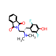 CN(C)[C@@H](Cc1cc(F)c(O)cc1F)CN1C(=O)c2ccccc2C1=O